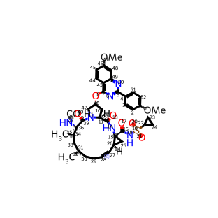 COc1ccc(-c2nc(O[C@@H]3C[C@H]4C(=O)N[C@]5(C(=O)NS(=O)(=O)C6CC6)C[C@H]5/C=C\CC[C@@H](C)C[C@@H](C)[C@H](NC(=O)O)C(=O)N4C3)c3ccc(OC)cc3n2)cc1